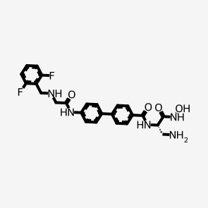 NC[C@H](NC(=O)c1ccc(-c2ccc(NC(=O)CNCc3c(F)cccc3F)cc2)cc1)C(=O)NO